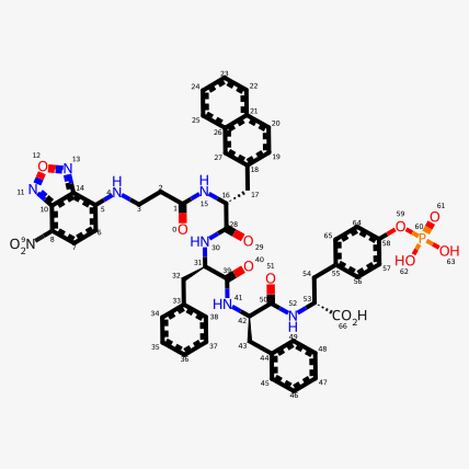 O=C(CCNc1ccc([N+](=O)[O-])c2nonc12)N[C@H](Cc1ccc2ccccc2c1)C(=O)N[C@H](Cc1ccccc1)C(=O)N[C@H](Cc1ccccc1)C(=O)N[C@H](Cc1ccc(OP(=O)(O)O)cc1)C(=O)O